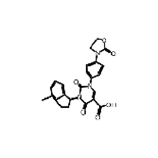 Cc1cccc2c1CCC2n1c(=O)c(C(=O)O)cn(-c2ccc(N3CCOC3=O)cc2)c1=O